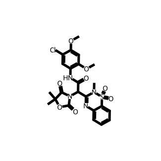 COc1cc(OC)c(NC(=O)C(C2=Nc3ccccc3S(=O)(=O)N2C)N2C(=O)OC(C)(C)C2=O)cc1Cl